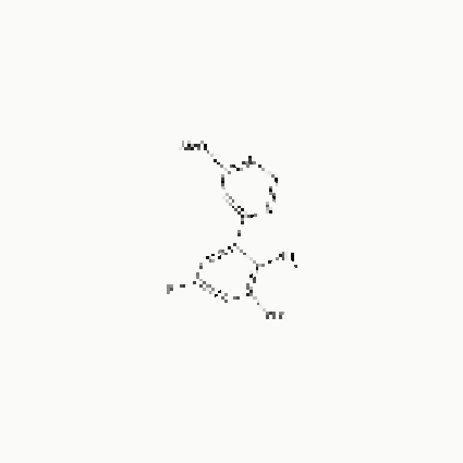 CCCc1cc(F)cc(-c2ccnc(OC)c2)c1N